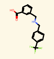 O=C(O)c1cccc(CNCc2ccc(C(F)(F)F)cc2)c1